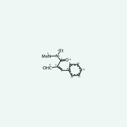 CCN(NC)C(=O)C([C]=O)=Cc1ccccc1